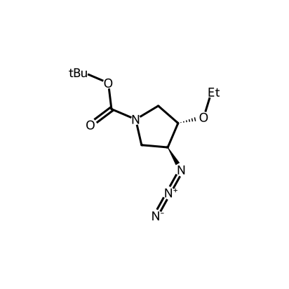 CCO[C@H]1CN(C(=O)OC(C)(C)C)C[C@@H]1N=[N+]=[N-]